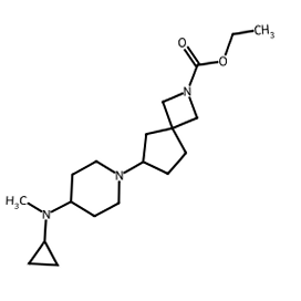 CCOC(=O)N1CC2(CCC(N3CCC(N(C)C4CC4)CC3)C2)C1